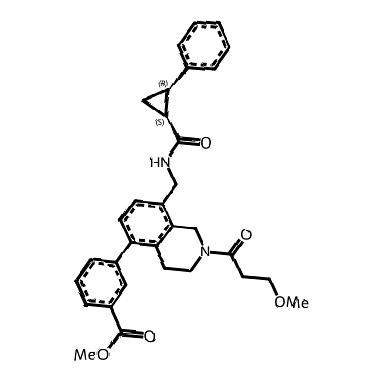 COCCC(=O)N1CCc2c(-c3cccc(C(=O)OC)c3)ccc(CNC(=O)[C@H]3C[C@H]3c3ccccc3)c2C1